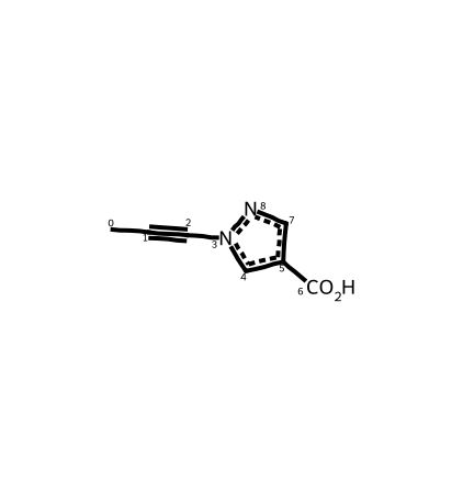 CC#Cn1cc(C(=O)O)cn1